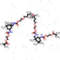 C=C(C)C(=O)OCCOC(=O)NC1CC(C)(C)CC(C)(CNC(=O)OCCOCCC[Si](C)(C)O[Si](C)(C)CCCOCCOC(=O)NCC2(C)CC(NC(=O)OCCOC(=O)C(=C)C)CC(C)(C)C2)C1